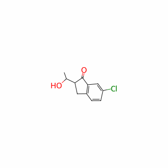 CC(O)C1Cc2ccc(Cl)cc2C1=O